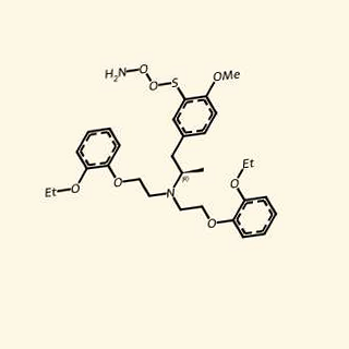 CCOc1ccccc1OCCN(CCOc1ccccc1OCC)[C@H](C)Cc1ccc(OC)c(SOON)c1